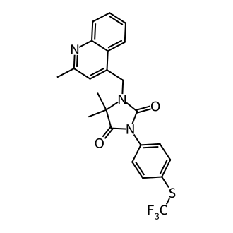 Cc1cc(CN2C(=O)N(c3ccc(SC(F)(F)F)cc3)C(=O)C2(C)C)c2ccccc2n1